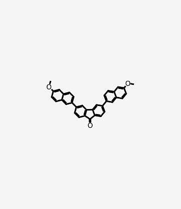 COc1ccc2cc(-c3ccc4c(c3)-c3cc(-c5ccc6cc(OC)ccc6c5)ccc3C4=O)ccc2c1